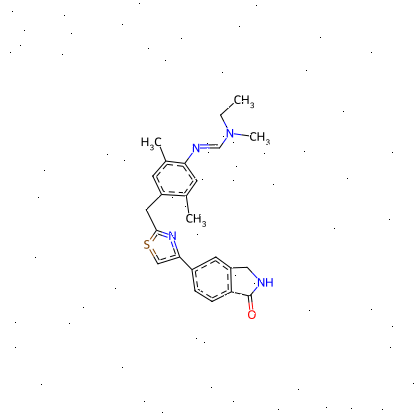 CCN(C)C=Nc1cc(C)c(Cc2nc(-c3ccc4c(c3)CNC4=O)cs2)cc1C